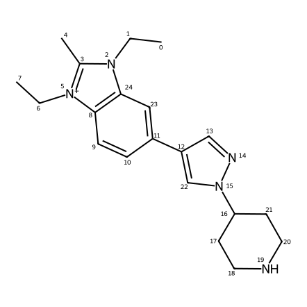 CCn1c(C)[n+](CC)c2ccc(-c3cnn(C4CCNCC4)c3)cc21